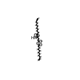 C#CCCCCCCCCC(=O)OC(=N)CCC(=O)OC(=O)CCCCCCCCC#C